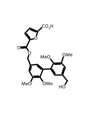 COc1cc(CO)cc(-c2cc(COC(=O)c3ccc(C(=O)O)o3)cc(OC)c2OC)c1OC